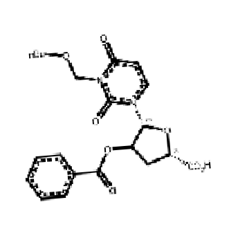 CCCCOCn1c(=O)ccn([C@@H]2O[C@H](C(=O)O)CC2OC(=O)c2ccccc2)c1=O